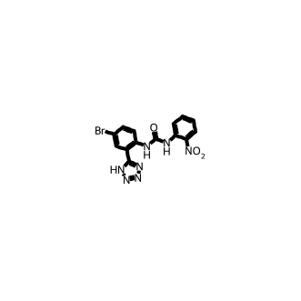 O=C(Nc1ccc(Br)cc1-c1nnn[nH]1)Nc1ccccc1[N+](=O)[O-]